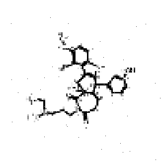 CCN(C)CCCN1C(=O)CCC2[C@H](c3cccc(O)c3)c3[nH]c4ccc(OC)c(F)c4c3C[C@@]2(C)C1=O